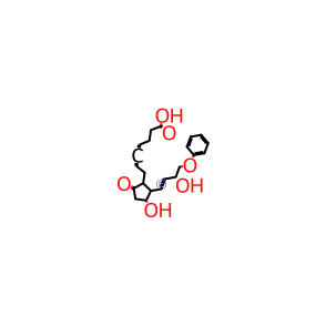 O=C(O)CCC=C=CCC1C(=O)CC(O)C1/C=C/C(O)COc1ccccc1